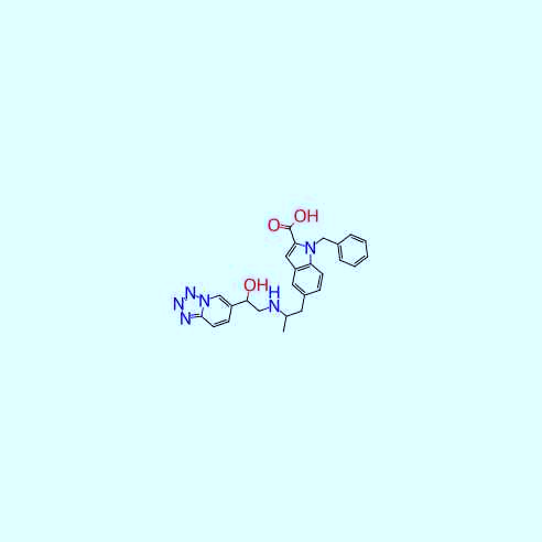 CC(Cc1ccc2c(c1)cc(C(=O)O)n2Cc1ccccc1)NCC(O)c1ccc2nnnn2c1